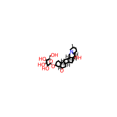 C[C@H]1CC[C@@H]2N(C1)C[C@H]1[C@@H]3C[C@H]4[C@@H](CC(=O)[C@H]5C[C@@H](O[C@@H]6O[C@H](CO)[C@@H](O)[C@H](O)[C@H]6O)CC[C@@]54C)[C@@H]3CC[C@H]1[C@]2(C)O